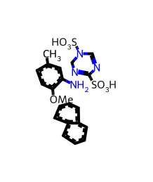 COc1ccc(C)cc1N.O=S(=O)(O)C1=NCN(S(=O)(=O)O)C=N1.c1ccc2ccccc2c1